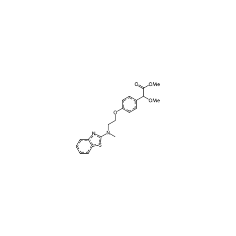 COC(=O)C(OC)c1ccc(OCCN(C)c2nc3ccccc3s2)cc1